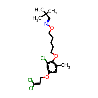 Cc1cc(OCC=C(Cl)Cl)cc(Cl)c1OCCCCCON=CC(C)(C)C